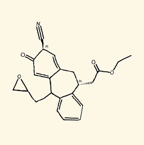 CCOC(=O)C[C@H]1CC2=C[C@H](C#N)C(=O)C=C2C(CC2CO2)c2ccccc21